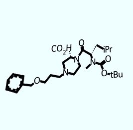 CC(C)C[C@@H](C(=O)N1CCN(CCCOCc2ccccc2)C[C@@H]1C(=O)O)N(C)C(=O)OC(C)(C)C